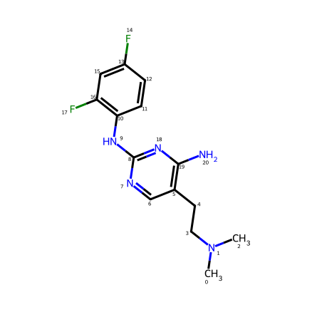 CN(C)CCc1cnc(Nc2ccc(F)cc2F)nc1N